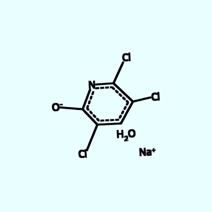 O.[Na+].[O-]c1nc(Cl)c(Cl)cc1Cl